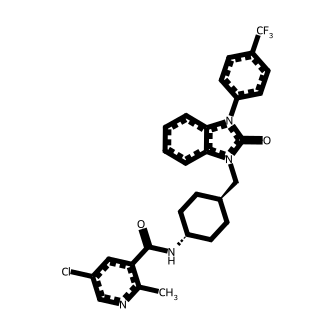 Cc1ncc(Cl)cc1C(=O)N[C@H]1CC[C@H](Cn2c(=O)n(-c3ccc(C(F)(F)F)cc3)c3ccccc32)CC1